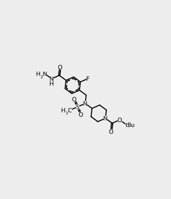 CC(C)(C)OC(=O)N1CCC(N(Cc2ccc(C(=O)NN)cc2F)S(C)(=O)=O)CC1